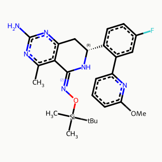 COc1cccc(-c2cc(F)ccc2[C@H]2Cc3nc(N)nc(C)c3/C(=N/O[Si](C)(C)C(C)(C)C)N2)n1